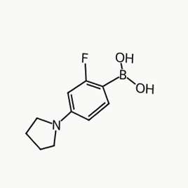 OB(O)c1ccc(N2CCCC2)cc1F